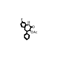 CC(=O)OC1C(=O)Nc2cc(F)ccc2CC1c1ccccc1